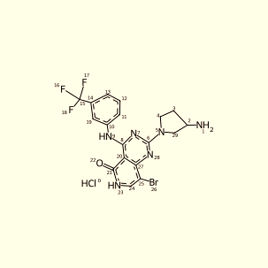 Cl.NC1CCN(c2nc(Nc3cccc(C(F)(F)F)c3)c3c(=O)[nH]cc(Br)c3n2)C1